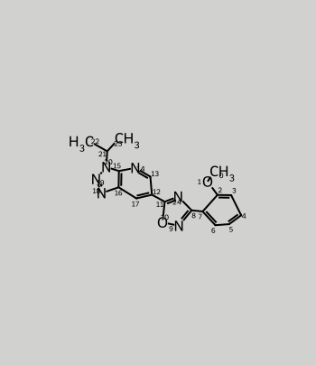 COc1ccccc1-c1noc(-c2cnc3c(c2)nnn3C(C)C)n1